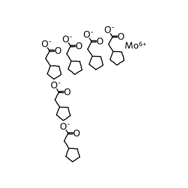 O=C([O-])CC1CCCC1.O=C([O-])CC1CCCC1.O=C([O-])CC1CCCC1.O=C([O-])CC1CCCC1.O=C([O-])CC1CCCC1.O=C([O-])CC1CCCC1.[Mo+6]